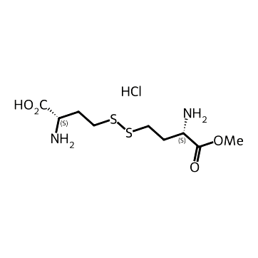 COC(=O)[C@@H](N)CCSSCC[C@H](N)C(=O)O.Cl